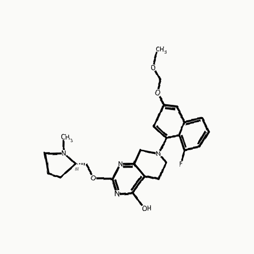 COCOc1cc(N2CCc3c(O)nc(OC[C@@H]4CCCN4C)nc3C2)c2c(F)cccc2c1